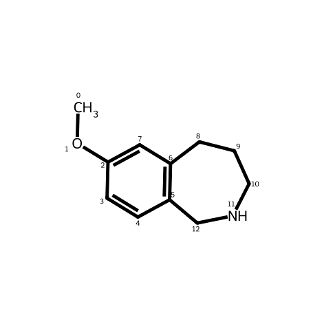 COc1ccc2c(c1)CCCNC2